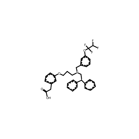 O=C(O)Cc1cccc(OCCCN(Cc2cccc(OC(F)(F)C(F)F)c2)CC(c2ccccc2)c2ccccc2)c1